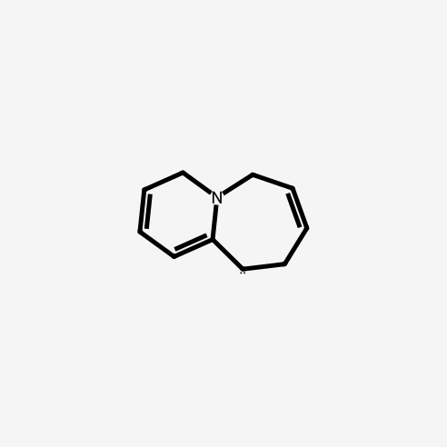 [C]1CC=CCN2CC=CC=C12